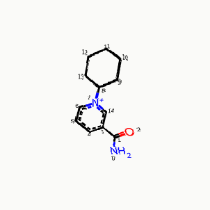 NC(=O)c1ccc[n+](C2CCCCC2)c1